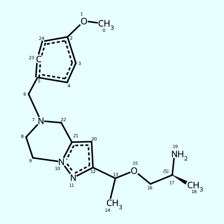 COc1ccc(CN2CCn3nc(C(C)OC[C@H](C)N)cc3C2)cc1